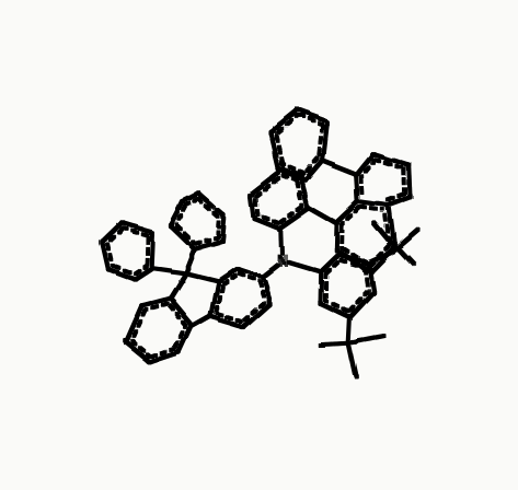 CC(C)(C)c1cc(N(c2ccc3c(c2)C(c2ccccc2)(c2ccccc2)c2ccccc2-3)c2ccccc2-c2cccc3cccc(-c4ccccc4)c23)cc(C(C)(C)C)c1